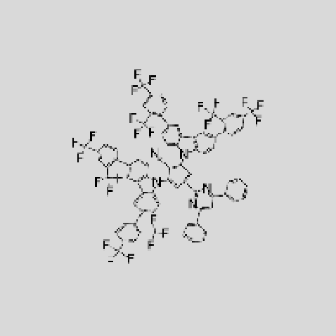 N#Cc1c(-n2c3ccc(-c4ccc(C(F)(F)F)cc4C(F)(F)F)cc3c3cc(-c4ccc(C(F)(F)F)cc4C(F)(F)F)ccc32)cc(-c2nc(-c3ccccc3)cc(-c3ccccc3)n2)cc1-n1c2ccc(-c3ccc(C(F)(F)F)cc3C(F)(F)F)cc2c2cc(-c3ccc(C(F)(F)F)cc3C(F)(F)F)ccc21